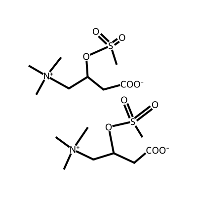 C[N+](C)(C)CC(CC(=O)[O-])OS(C)(=O)=O.C[N+](C)(C)CC(CC(=O)[O-])OS(C)(=O)=O